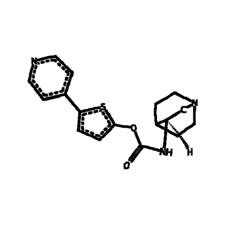 O=C(N[C@@H]1CN2CCC1CC2)Oc1ccc(-c2ccncc2)s1